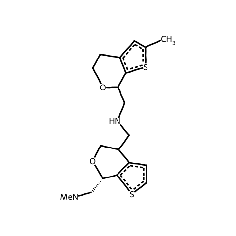 CNC[C@@H]1OCC(CNCC2OCCc3cc(C)sc32)c2ccsc21